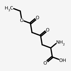 CCOC(=O)CC(=O)CC(N)C(=O)O